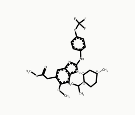 COC(=O)Cc1cc2nc(Nc3ccc(OC(F)(F)F)cc3)n([C@@H]3C[C@H](C)CC[C@H]3C(C)C)c2cc1OC